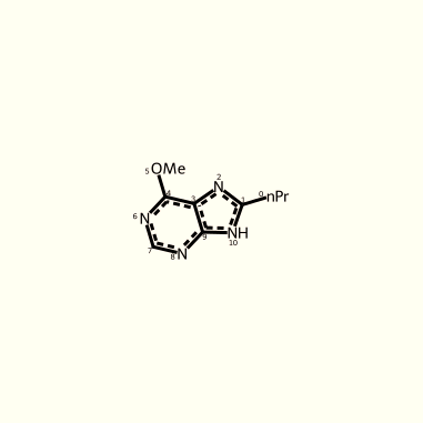 CCCc1nc2c(OC)ncnc2[nH]1